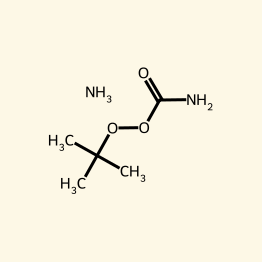 CC(C)(C)OOC(N)=O.N